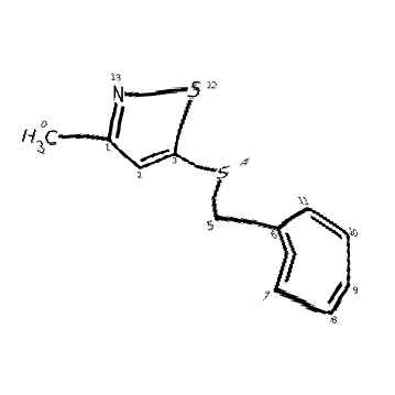 Cc1cc(SCc2ccccc2)sn1